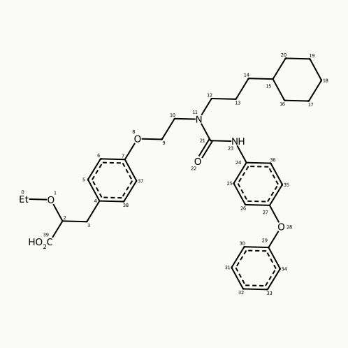 CCOC(Cc1ccc(OCCN(CCCC2CCCCC2)C(=O)Nc2ccc(Oc3ccccc3)cc2)cc1)C(=O)O